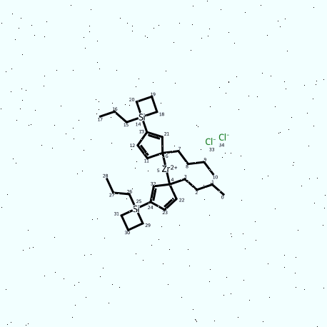 CCCC[C]1([Zr+2][C]2(CCCC)C=CC([Si]3(CCC)CCC3)=C2)C=CC([Si]2(CCC)CCC2)=C1.[Cl-].[Cl-]